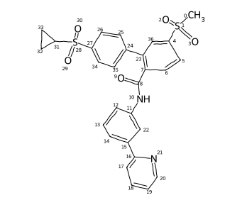 CS(=O)(=O)c1ccc(C(=O)Nc2cccc(-c3ccccn3)c2)c(-c2ccc(S(=O)(=O)C3CC3)cc2)c1